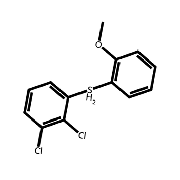 COc1[c]cccc1[SH2]c1cccc(Cl)c1Cl